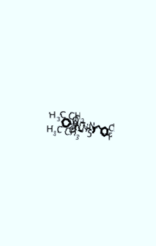 Cc1cc(C)c(C)c(S(=O)(=O)N2CCN(c3nc(Cc4ccc(F)c(Cl)c4)cs3)CC2)c1C